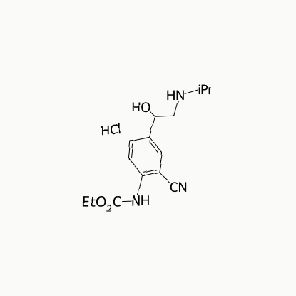 CCOC(=O)Nc1ccc(C(O)CNC(C)C)cc1C#N.Cl